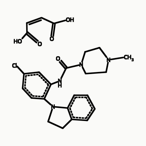 CN1CCN(C(=O)Nc2cc(Cl)ccc2N2CCc3ccccc32)CC1.O=C(O)/C=C\C(=O)O